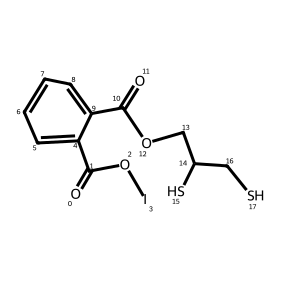 O=C(OI)c1ccccc1C(=O)OCC(S)CS